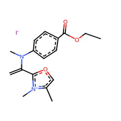 C=C(c1occ(C)[n+]1C)N(C)c1ccc(C(=O)OCC)cc1.[I-]